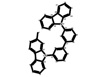 Cc1ccc2c3ccccc3n(-c3cccc(-c4cccc(-n5c6ccccc6c6ccccc65)c4)c3)c2c1